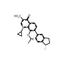 C[C@H]1CCc2cc(-c3ccc4c(=O)c(C(=O)O)cn(C5CC5)c4c3OC(F)F)ccc21